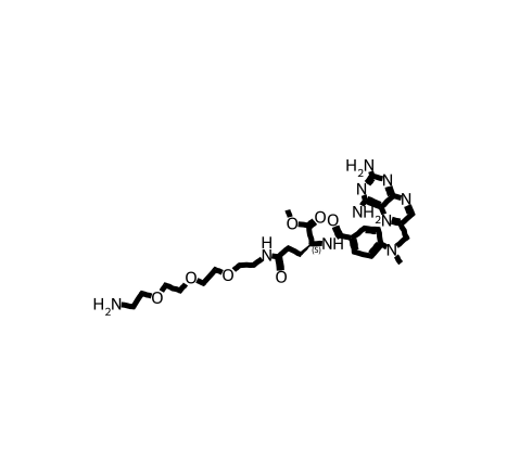 COC(=O)[C@H](CCC(=O)NCCOCCOCCOCCN)NC(=O)c1ccc(N(C)Cc2cnc3nc(N)nc(N)c3n2)cc1